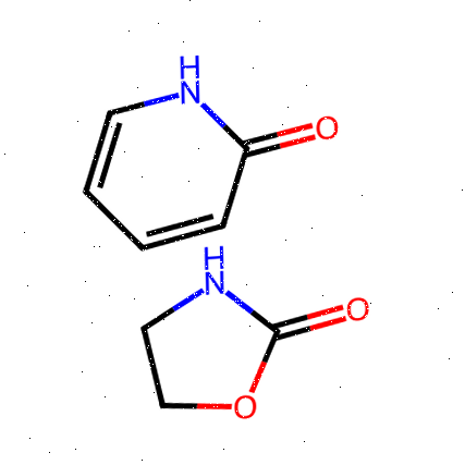 O=C1NCCO1.O=c1cccc[nH]1